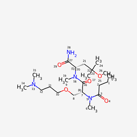 CCCC(=O)N(C)[C@H](COCCCN(C)C)C(=O)N(C)[C@@H](CC(C)(C)OC)C(N)=O